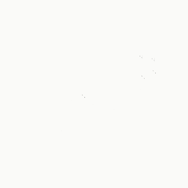 O=C(C=Cc1cccc(-n2cnnn2)c1)Nc1ccc(Cl)c(C(F)(F)F)c1